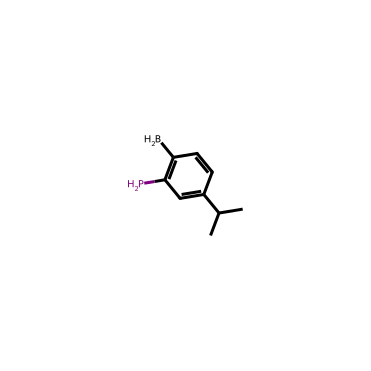 Bc1ccc(C(C)C)cc1P